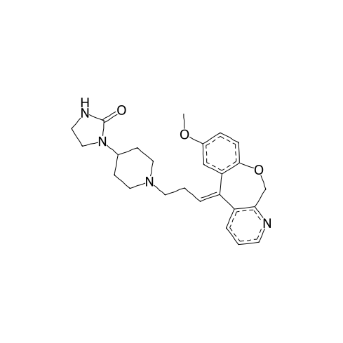 COc1ccc2c(c1)C(=CCCN1CCC(N3CCNC3=O)CC1)c1cccnc1CO2